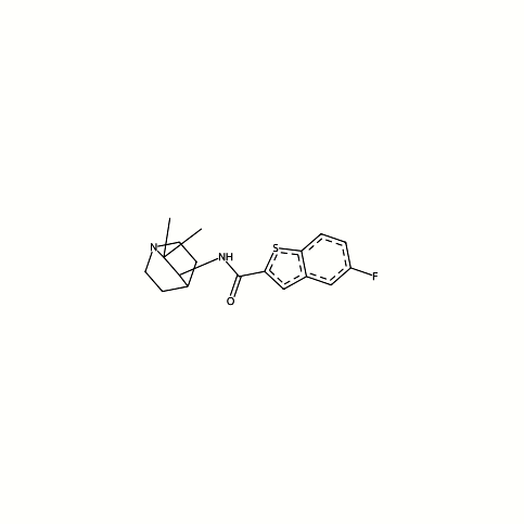 CC1(C)C(NC(=O)c2cc3cc(F)ccc3s2)C2CCN1CC2